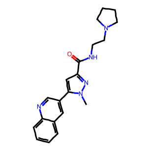 Cn1nc(C(=O)NCCN2CCCC2)cc1-c1cnc2ccccc2c1